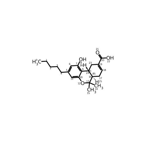 CCCCCc1cc(O)c2c(c1)OC(C)(C)[C@@H]1CC=C(C(=O)O)C[C@@H]21